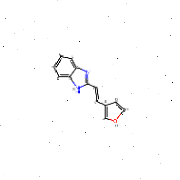 C(=Cc1nc2ccccc2[nH]1)c1ccoc1